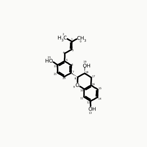 CC(C)=CCc1cc([C@H]2Oc3cc(O)ccc3C[C@H]2O)ccc1O